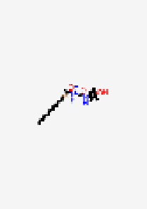 CCCCCCCCCCCCSC(C)C(=O)NNCC(=O)Nc1cc(C)c(O)c(C)c1C